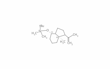 C=C(C)C1CCC2[C@@H](O[Si](C)(C)C(C)(C)C)CCC[C@]12C